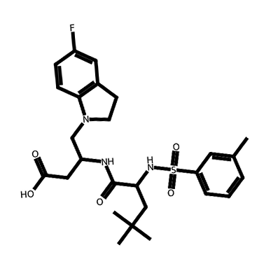 Cc1cccc(S(=O)(=O)NC(CC(C)(C)C)C(=O)NC(CC(=O)O)CN2CCc3cc(F)ccc32)c1